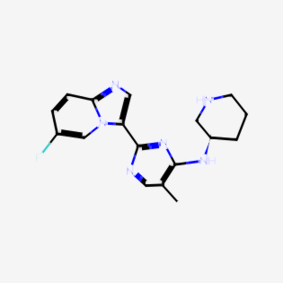 Cc1cnc(-c2cnc3ccc(F)cn23)nc1N[C@@H]1CCCNC1